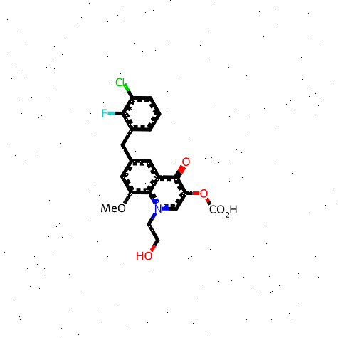 COc1cc(Cc2cccc(Cl)c2F)cc2c(=O)c(OC(=O)O)cn(CCO)c12